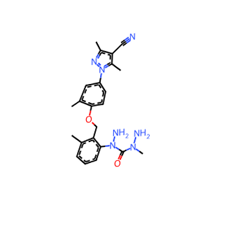 Cc1cc(-n2nc(C)c(C#N)c2C)ccc1OCc1c(C)cccc1N(N)C(=O)N(C)N